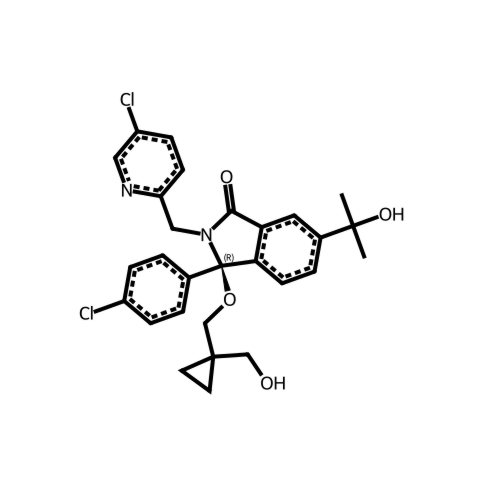 CC(C)(O)c1ccc2c(c1)C(=O)N(Cc1ccc(Cl)cn1)[C@@]2(OCC1(CO)CC1)c1ccc(Cl)cc1